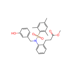 COC(=O)CCc1ccccc1N(Cc1cccc(O)c1)S(=O)(=O)c1c(C)cc(C)cc1C